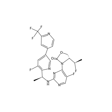 C[C@H](Nc1ncc(F)c(N2C(=O)OC[C@@H]2[C@@H](C)F)n1)c1ncc(-c2ccnc(C(F)(F)F)c2)cc1F